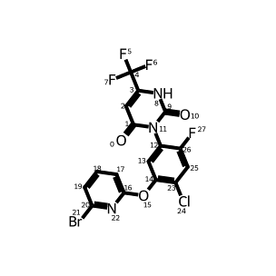 O=c1cc(C(F)(F)F)[nH]c(=O)n1-c1cc(Oc2cccc(Br)n2)c(Cl)cc1F